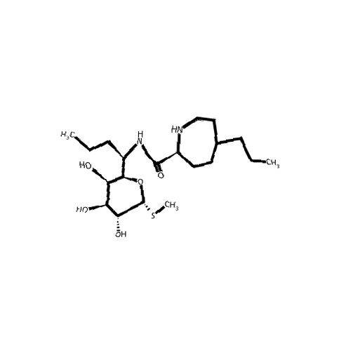 CCCC1CCN[C@H](C(=O)N[C@H](CCC)[C@H]2O[C@H](SC)[C@H](O)[C@@H](O)[C@H]2O)CC1